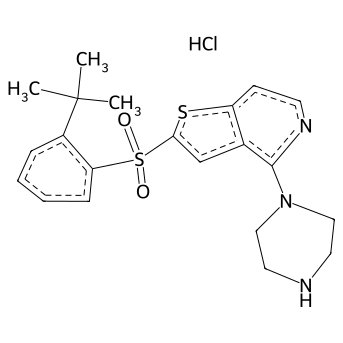 CC(C)(C)c1ccccc1S(=O)(=O)c1cc2c(N3CCNCC3)nccc2s1.Cl